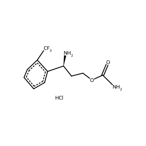 Cl.NC(=O)OCC[C@H](N)c1ccccc1C(F)(F)F